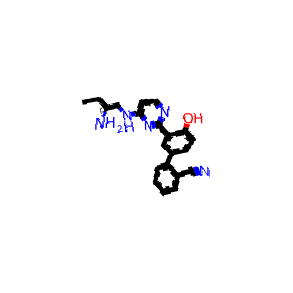 CC[C@H](N)CNc1ccnc(-c2cc(-c3ccccc3C#N)ccc2O)n1